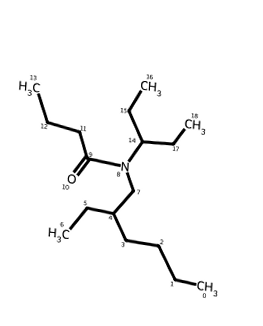 CCCCC(CC)CN(C(=O)CCC)C(CC)CC